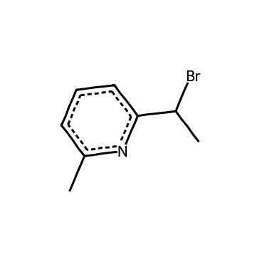 Cc1cccc(C(C)Br)n1